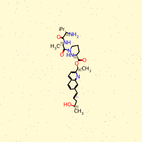 CC(C)[C@H](N)C(=O)N[C@@H](C)C(=O)N1CCC[C@@H](C(=O)O[C@H](C)c2ccc3ccc(/C=C/C[C@H](C)O)cc3n2)N1